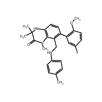 COc1ccc(F)cc1-c1ccc2c(c1CNc1ccc(C)cc1)N(C)C(=O)C(C)(C)N2